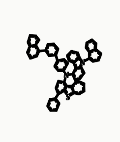 c1ccc(-c2ccc(N(c3ccc(-c4cccc(-c5cccc6ccccc56)c4)cc3)c3cccc4c3c3ccccc3n4-c3cccc4ccccc34)c3c2sc2ccccc23)cc1